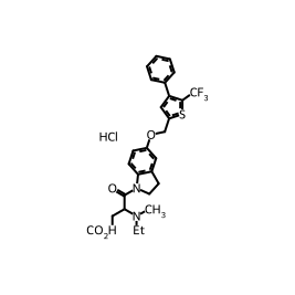 CCN(C)C(CC(=O)O)C(=O)N1CCc2cc(OCc3cc(-c4ccccc4)c(C(F)(F)F)s3)ccc21.Cl